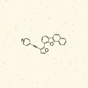 C(#Cc1ccoc1-c1cccc2c1oc1c3ccccc3ccc21)c1ccncc1